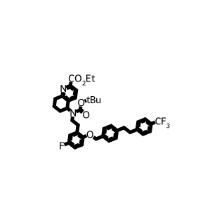 CCOC(=O)c1ccc2c(n1)CCCC2N(CCc1cc(F)ccc1OCc1ccc(CCc2ccc(C(F)(F)F)cc2)cc1)C(=O)OC(C)(C)C